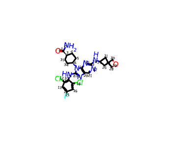 NC(=O)[C@H]1CC[C@@H](n2c(Nc3c(Cl)cc(F)cc3Cl)nc3cnc(NC4CC5(COC5)C4)nc32)CC1